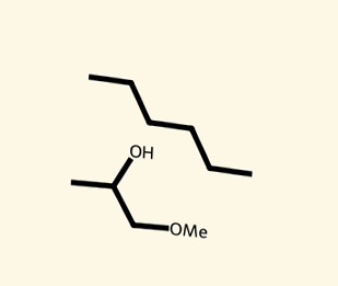 CCCCCC.COCC(C)O